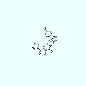 C=C1CN(C(=O)[C@H](NC(=O)c2ccccc2)C(C)C)CC[C@]1(O)c1ccc(Cl)cc1